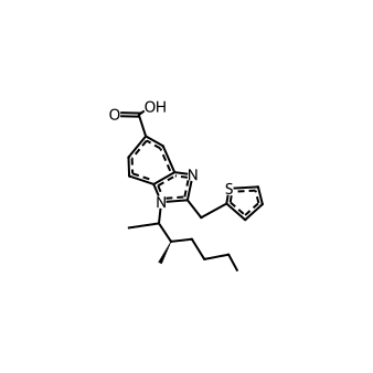 CCCC[C@@H](C)C(C)n1c(Cc2cccs2)nc2cc(C(=O)O)ccc21